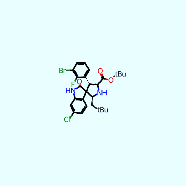 CC(C)(C)C[C@@H]1NC(C(=O)OC(C)(C)C)[C@@H](c2cccc(Br)c2F)C12C(=O)Nc1cc(Cl)ccc12